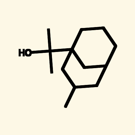 CC1CC2CCCC(C(C)(C)O)(C1)C2